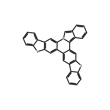 c1ccc2c(c1)cn1c3cc4c(cc3c3cc5c(cc3c21)sc1ccccc15)sc1ccccc14